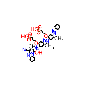 Cc1cc(N=Nc2cc(OCCCS(=O)(=O)O)c(N=Nc3c(C)c(C#N)c4nc5ccccc5n4c3O)cc2C)c(OCCCS(=O)(=O)O)cc1N=Nc1ccccc1